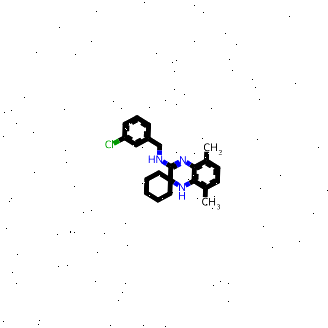 Cc1ccc(C)c2c1N=C(NCc1cccc(Cl)c1)C1(CCCCC1)N2